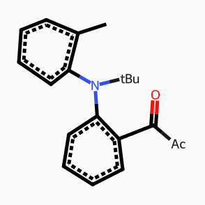 CC(=O)C(=O)c1ccccc1N(c1ccccc1C)C(C)(C)C